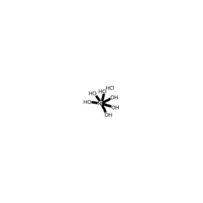 Cl.[OH][Ni]([OH])([OH])([OH])([OH])[OH]